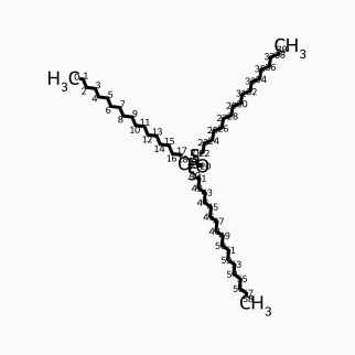 CCCCCCCCCCCCCCCCCCOP(=O)(SCCCCCCCCCCCCCCCCCC)SCCCCCCCCCCCCCCCCCC